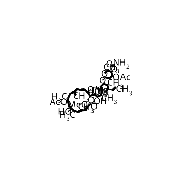 C/C=C/[C@H]1O[C@@](O)([C@@H](C)[C@H](O)[C@H](C)[C@H]2OC(=O)/C(OC)=C/C(C)=C/[C@@H](C)[C@@H](O)C[C@@H](OC(C)=O)[C@H](C)C/C(C)=C/C=C/[C@@H]2OC)C[C@@H](O[C@@H]2C[C@H](OC(C)=O)[C@@H](OC(N)=O)[C@H](C)O2)[C@@H]1C